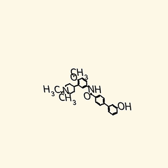 COc1ccc(NC(=O)c2ccc(-c3cccc(O)c3)cc2)cc1C1CCN(C(C)C)CC1